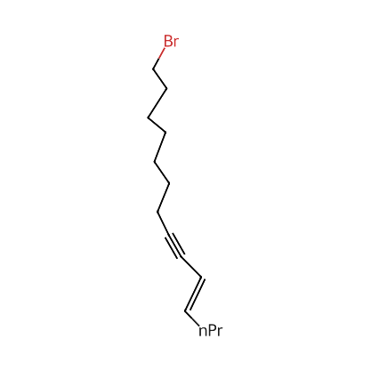 CCCC=CC#CCCCCCCCBr